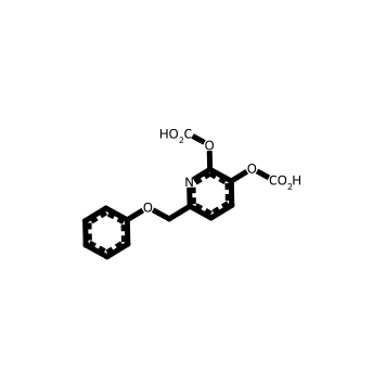 O=C(O)Oc1ccc(COc2ccccc2)nc1OC(=O)O